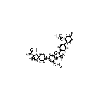 COc1cc(F)ccc1-c1ccc([C@@H](Oc2cc(N3CCC4(CC3)CN[C@H](C(=O)O)C4)nc(N)n2)C(F)(F)F)cc1